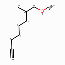 C#CCCCCC(C)COCC[CH2]